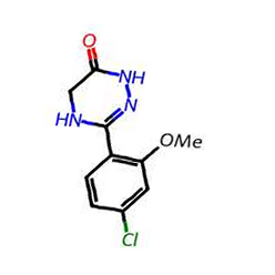 COc1cc(Cl)ccc1C1=NNC(=O)CN1